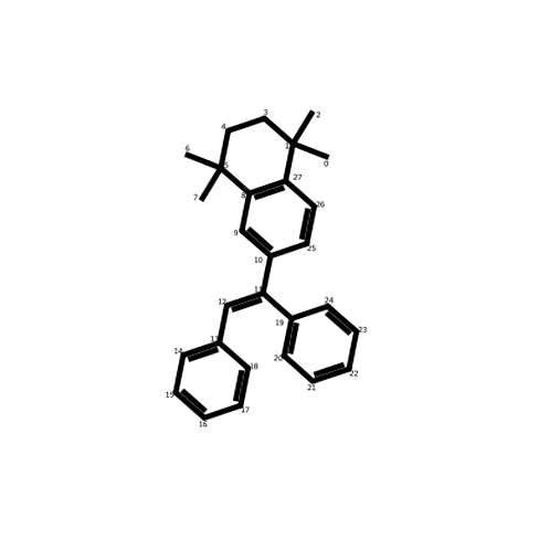 CC1(C)CCC(C)(C)c2cc(C(=Cc3ccccc3)c3ccccc3)ccc21